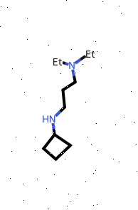 CCN(CC)CCCNC1CCC1